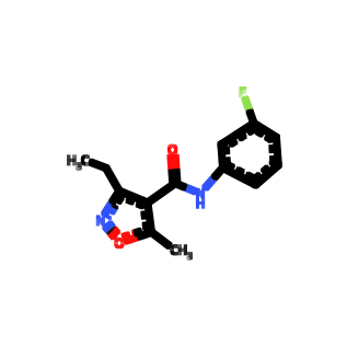 CCc1noc(C)c1C(=O)Nc1cccc(F)c1